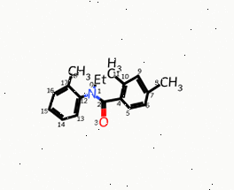 CCN(C(=O)c1ccc(C)cc1C)c1ccccc1C